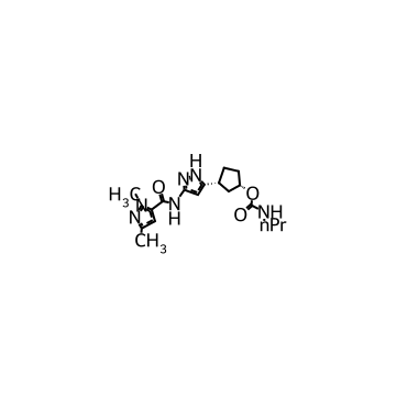 CCCNC(=O)O[C@H]1CC[C@@H](c2cc(NC(=O)c3cc(C)nn3C)n[nH]2)C1